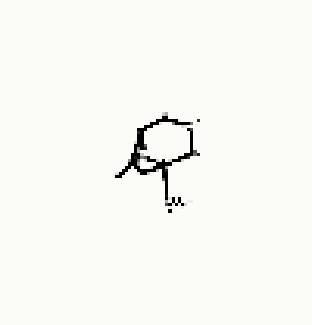 CN1C2CCC1(C(=O)O)COC2